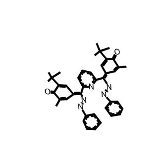 CC1=C/C(=C(\N=N\c2ccccc2)c2cccc(C(/N=N/c3ccccc3)=C3/C=C(C)C(=O)C(C(C)(C)C)=C3)n2)C=C(C(C)(C)C)C1=O